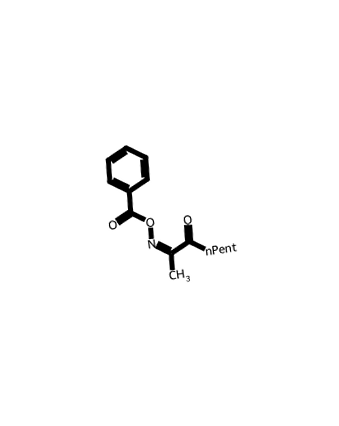 CCCCCC(=O)C(C)=NOC(=O)c1ccccc1